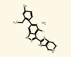 CCc1cc(O)ccc1-c1cc(F)c2c(-c3nc4c([nH]3)CNCC4)n[nH]c2c1.Cl